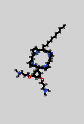 CCCCCCCCCCCc1c2nc(cc3ccc([nH]3)c(-c3cc(OCCCN(C)C)cc(OCCCN(C)C)c3)c3nc(cc4ccc1[nH]4)C=C3)C=C2